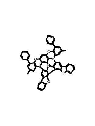 Cc1cc2c(c(-c3ccccc3)c1)Oc1cc3c4c5c1B2c1cc2c6ccccc6oc2c2c6c7oc8ccccc8c7cc(c6n-5c12)B4c1cc(C)cc(-c2ccccc2)c1O3